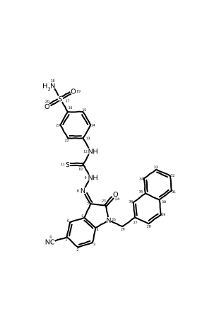 N#Cc1ccc2c(c1)C(=NNC(=S)Nc1ccc(S(N)(=O)=O)cc1)C(=O)N2Cc1ccc2ccccc2c1